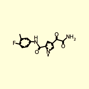 Cc1cc(NC(=O)c2cc(C(=O)C(N)=O)cn2C)ccc1F